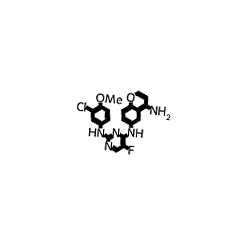 COc1ccc(Nc2ncc(F)c(NC3=CC=C4OC=CC(N)=C4C3)n2)cc1Cl